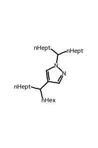 CCCCCCCC(CCCCCC)c1cnn(C(CCCCCCC)CCCCCCC)c1